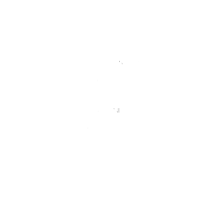 COc1nccc(F)c1NC(=O)OC(C)(C)C